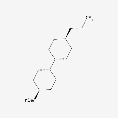 CCCCCCCCCC[C@H]1CC[C@H]([C@H]2CC[C@H](CCC(F)(F)F)CC2)CC1